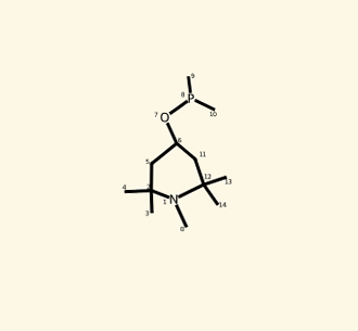 CN1C(C)(C)CC(OP(C)C)CC1(C)C